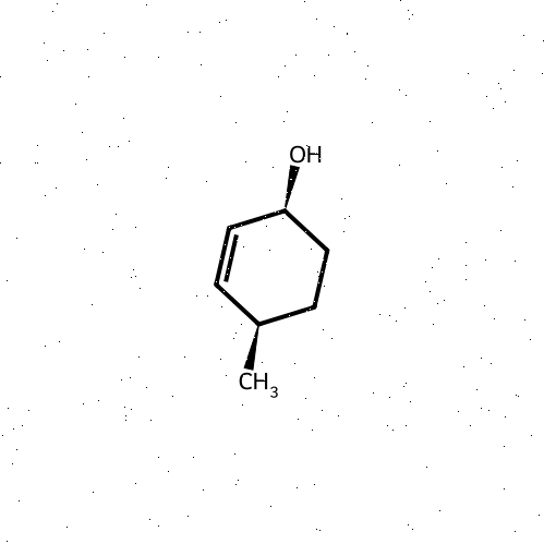 C[C@H]1C=C[C@@H](O)CC1